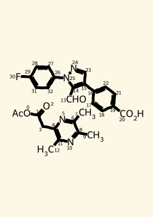 CC(=O)OC(=O)Cc1nc(C)c(C)nc1C.O=Cc1c(-c2ccc(C(=O)O)cc2)cnn1-c1ccc(F)cc1